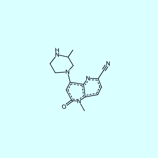 CC1CN(c2cc(=O)n(C)c3ccc(C#N)nc23)CCN1